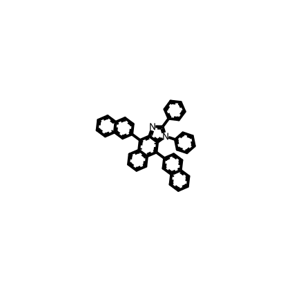 c1ccc(-c2nc3c(-c4ccc5ccccc5c4)c4ccccc4c(-c4ccc5ccccc5c4)c3n2-c2ccccc2)cc1